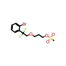 CS(=O)(=O)OCCCOCC(F)(F)c1ccccc1Br